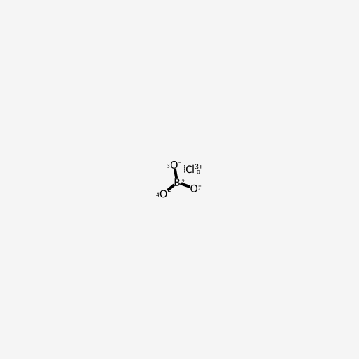 [Cl+3].[O-]B([O-])[O-]